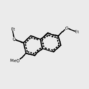 CCOc1ccc2cc(OC)c(OCC)cc2c1